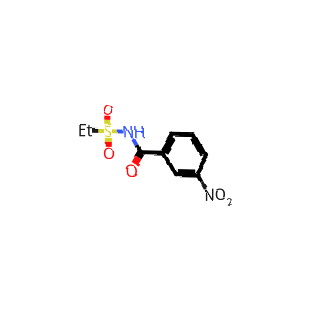 CCS(=O)(=O)NC(=O)c1cccc([N+](=O)[O-])c1